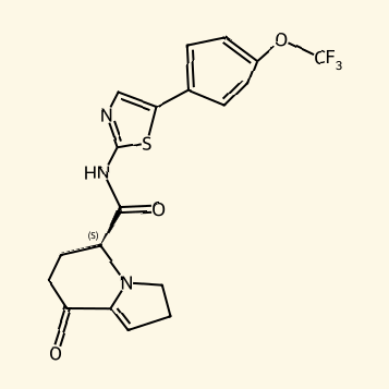 O=C1CC[C@@H](C(=O)Nc2ncc(-c3ccc(OC(F)(F)F)cc3)s2)N2CCC=C12